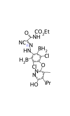 Bc1c(Cl)c(Oc2nnc(O)c(C(C)C)c2C)c(Cl)c(B)c1N/N=C(\C#N)C(=O)NC(=O)OCC